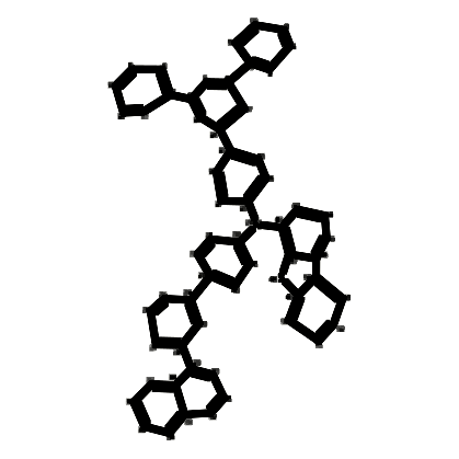 c1ccc(-c2cc(-c3ccccc3)cc(-c3ccc(N(c4ccc(-c5cccc(-c6cccc7ccccc67)c5)cc4)c4cccc5c4sc4ccccc45)cc3)c2)cc1